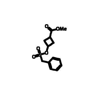 COC(=O)C1CC(OS(=O)(=O)Cc2ccccc2)C1